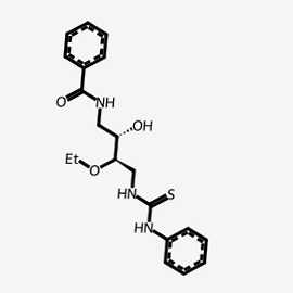 CCO[C@H](CNC(=S)Nc1ccccc1)[C@@H](O)CNC(=O)c1ccccc1